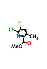 COC(=O)c1nc(Cl)c(F)cc1C